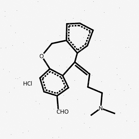 CN(C)CC/C=C1/c2ccccc2COc2ccc(C=O)cc21.Cl